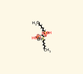 CCCCCCCCP(=O)(O)O[C@@H](COP(C)(=O)O)CSCCCCCCC